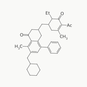 CCC1C(=O)C(C(C)=O)=C(C)CC1CC1CC(=O)c2c(C)c(CC3CCCCC3)cc(-c3ccccc3)c2C1